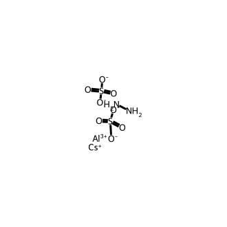 NN.O=S(=O)([O-])[O-].O=S(=O)([O-])[O-].[Al+3].[Cs+]